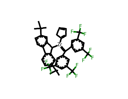 CC(C)(C)c1ccc2c(c1)[CH]([Zr]([C]1=CC=CC1)=[C](c1cc(C(F)(F)F)cc(C(F)(F)F)c1)c1cc(C(F)(F)F)cc(C(F)(F)F)c1)c1cc(C(C)(C)C)ccc1-2